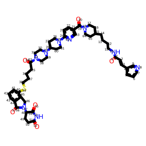 O=C(/C=C/c1cccnc1)NCCCCC1CCN(C(=O)c2ccc(N3CCC(N4CCN(C(=O)CCCCSc5cccc6c5CN(C5CCC(=O)NC5=O)C6=O)CC4)CC3)nc2)CC1